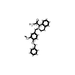 COc1cc(CN2CCc3c[c]ccc3C2C(N)=O)ccc1OCc1ccccc1